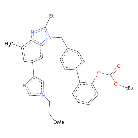 CCc1nc2c(C)cc(-c3cn(CCOC)cn3)cc2n1Cc1ccc(-c2ccccc2OC(=O)OC(C)(C)C)cc1